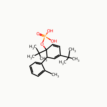 Cc1ccccc1C1C=C(C(C)(C)C)C=CC1(OP(=O)(O)O)C(C)(C)C